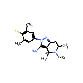 Cc1cc(-n2nc3c(c2N)[C@H](C)N(C=O)C(C)C3)cc(C)c1F